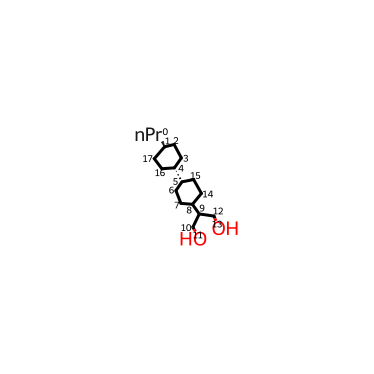 CCC[C@H]1CC[C@H](C2CCC(C(CO)CO)CC2)CC1